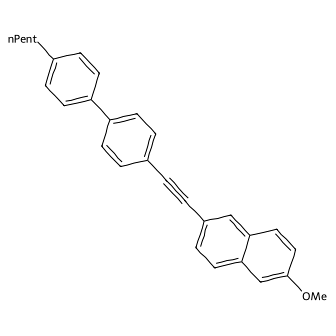 CCCCCc1ccc(-c2ccc(C#Cc3ccc4cc(OC)ccc4c3)cc2)cc1